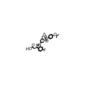 COC[C@@H]1C[C@@H](n2nc(CC(=O)O)c3ccc(F)cc32)CN1S(=O)(=O)c1ccc(OC(C)C)cc1